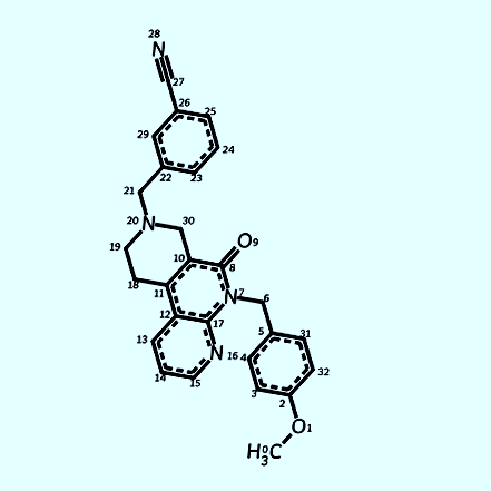 COc1ccc(Cn2c(=O)c3c(c4cccnc42)CCN(Cc2cccc(C#N)c2)C3)cc1